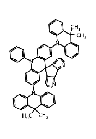 CC1(C)c2ccccc2N(c2ccc3c(c2)C2(c4cc(N5c6ccccc6C(C)(C)c6ccccc65)ccc4N3c3ccccc3)c3cccnc3-c3ncccc32)c2ccccc21